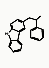 CC(Cc1ccc2[nH]c3ccccc3c2c1)c1ccccc1